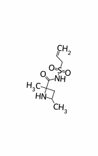 C=CCS(=O)(=O)NC(=O)C1(C)CC(C)N1